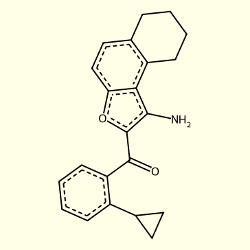 Nc1c(C(=O)c2ccccc2C2CC2)oc2ccc3c(c12)CCCC3